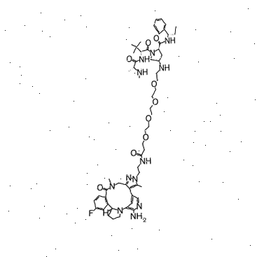 CC[C@H](NC(=O)[C@H]1C[C@@H](NCCOCCOCCOCCOCCC(=O)NCCn2nc3c(c2C)-c2cnc(N)c(c2)N2CCC[C@@H]2c2cc(F)ccc2C(=O)N(C)C3)CN1C(=O)[C@H](NC(=O)[C@@H](C)NC)C(C)(C)C)c1ccccc1